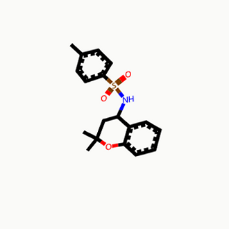 Cc1ccc(S(=O)(=O)NC2CC(C)(C)Oc3ccccc32)cc1